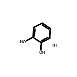 Oc1ccccc1O.[KH]